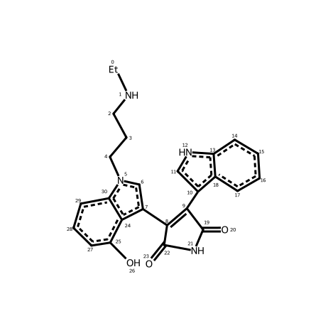 CCNCCCn1cc(C2=C(c3c[nH]c4ccccc34)C(=O)NC2=O)c2c(O)cccc21